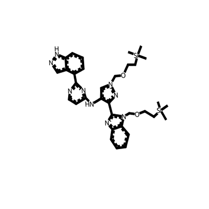 C[Si](C)(C)CCOCn1cc(Nc2ccnc(-c3cccc4[nH]ncc34)n2)c(-c2nc3ccccc3n2COCC[Si](C)(C)C)n1